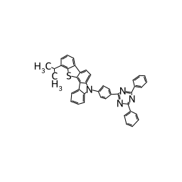 CC(C)c1cccc2c1sc1c2ccc2c1c1ccccc1n2-c1ccc(-c2nc(-c3ccccc3)nc(-c3ccccc3)n2)cc1